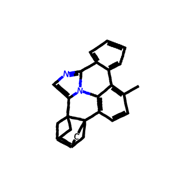 Cc1ccc2c3c1c1ccccc1c1ncc(n13)C13CC(=C4CC21C4)C3